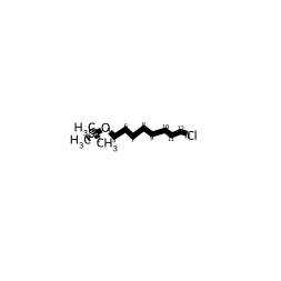 C[Si](C)(C)OCCCCCCCCCl